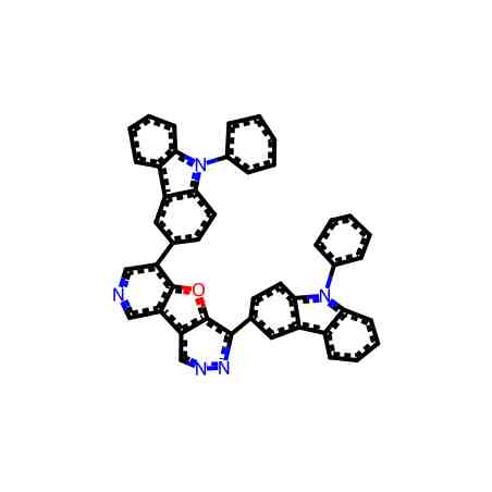 c1ccc(-n2c3ccccc3c3cc(-c4cncc5c4oc4c(-c6ccc7c(c6)c6ccccc6n7-c6ccccc6)nncc45)ccc32)cc1